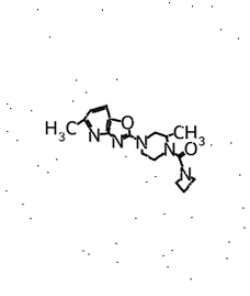 Cc1ccc2oc(N3CCN(C(=O)N4CCC4)C(C)C3)nc2n1